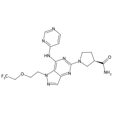 NC(=O)[C@@H]1CCN(c2nc(Nc3ccncn3)c3c(cnn3CCOCC(F)(F)F)n2)C1